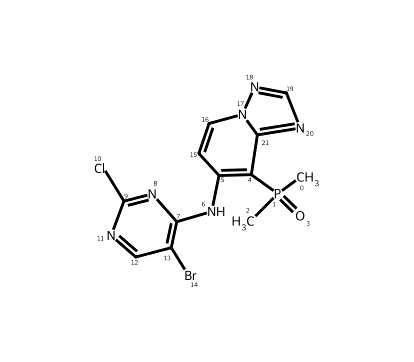 CP(C)(=O)c1c(Nc2nc(Cl)ncc2Br)ccn2ncnc12